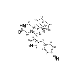 N#Cc1ccc(Cn2cncc2C(CC23CC4CC(CC(C4)C2)C3)N2CCNC(=O)C2)cc1